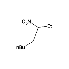 [CH2]CC(CCCCC)[N+](=O)[O-]